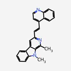 Cc1nc(C=Cc2ccnc3ccccc23)cc2c3ccccc3n(C)c12